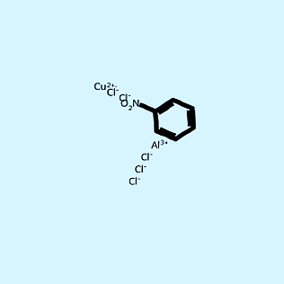 O=[N+]([O-])c1ccccc1.[Al+3].[Cl-].[Cl-].[Cl-].[Cl-].[Cl-].[Cu+2]